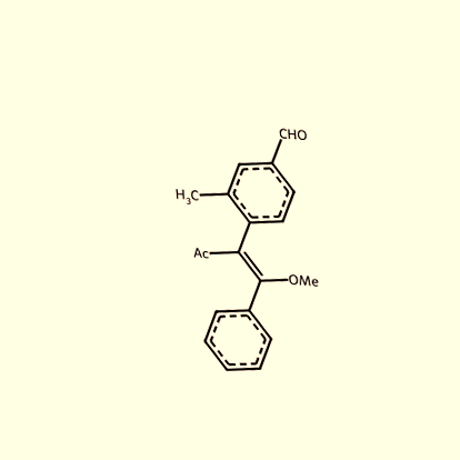 CO/C(=C(/C(C)=O)c1ccc(C=O)cc1C)c1ccccc1